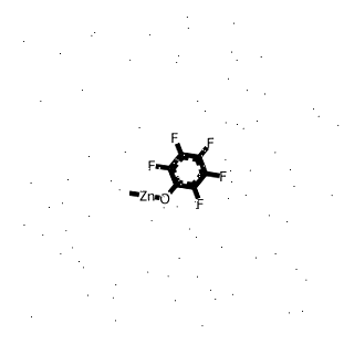 [CH3][Zn][O]c1c(F)c(F)c(F)c(F)c1F